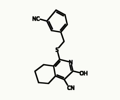 N#Cc1cccc(CSc2nc(O)c(C#N)c3c2CCCC3)c1